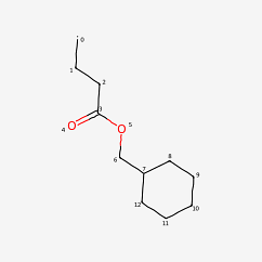 [CH2]CCC(=O)OCC1CCCCC1